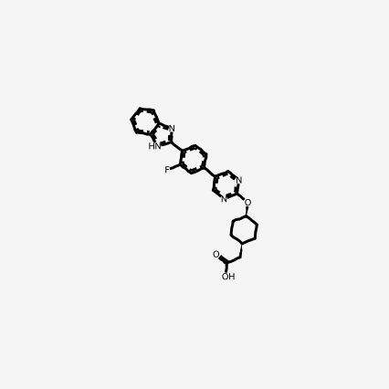 O=C(O)C[C@H]1CC[C@@H](Oc2ncc(-c3ccc(-c4nc5ccccc5[nH]4)c(F)c3)cn2)CC1